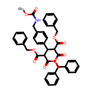 CC(C)(C)OC(=O)NCc1ccc(C(C(C(=O)OCc2ccccc2)C(=O)OCc2ccccc2)C(C(=O)OCc2ccccc2)C(=O)OCc2ccccc2)cc1